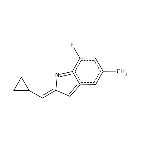 Cc1cc(F)c2c(c1)=C/C(=C/C1CC1)N=2